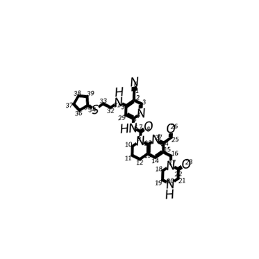 N#Cc1cnc(NC(=O)N2CCCc3cc(CN4CCNCC4=O)c(C=O)nc32)cc1NCCSC1CCCC1